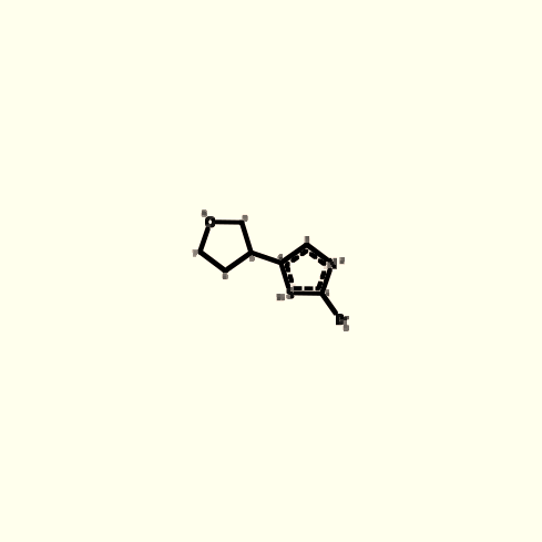 Brc1ncc(C2CCOC2)s1